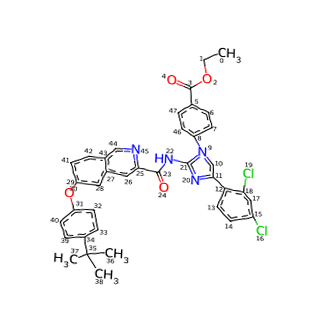 CCOC(=O)c1ccc(-n2cc(-c3ccc(Cl)cc3Cl)nc2NC(=O)c2cc3cc(Oc4ccc(C(C)(C)C)cc4)ccc3cn2)cc1